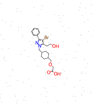 O=C(O)COCC1CCC(Cn2nc(-c3ccccc3)c(Br)c2CCO)CC1